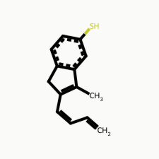 C=C/C=C\C1=C(C)c2cc(S)ccc2C1